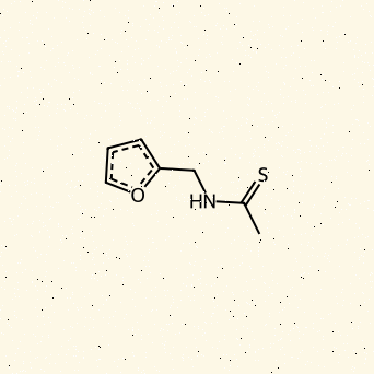 CC(=S)NCc1ccco1